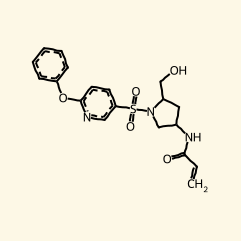 C=CC(=O)NC1CC(CO)N(S(=O)(=O)c2ccc(Oc3ccccc3)nc2)C1